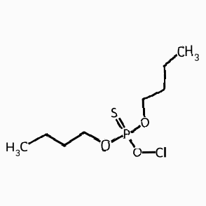 CCCCOP(=S)(OCl)OCCCC